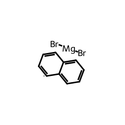 [Br][Mg][Br].[c]1cccc2ccccc12